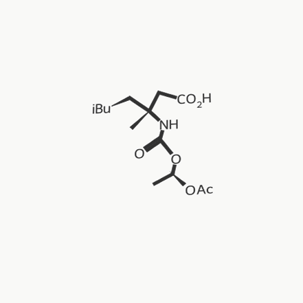 CC[C@H](C)C[C@](C)(CC(=O)O)NC(=O)O[C@H](C)OC(C)=O